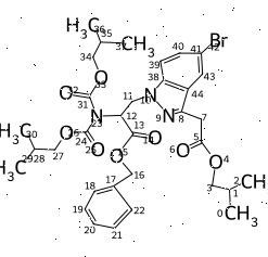 CC(C)COC(=O)Cc1nn(CC(C(=O)OCc2ccccc2)N(C(=O)OCC(C)C)C(=O)OCC(C)C)c2ccc(Br)cc12